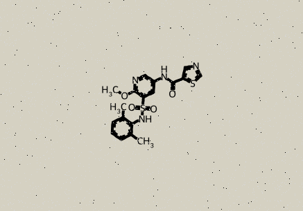 COc1ncc(NC(=O)c2cncs2)cc1S(=O)(=O)Nc1c(C)cccc1C